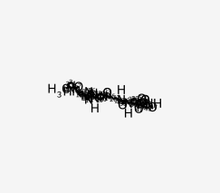 Cc1cccc(C(=O)NC2CC(n3cnc4c(NC5CCN(C(=O)CCCCCNC(=O)CNc6ccc7c(c6)C(=O)N([C@H]6CCC(=O)NC6=O)C7=O)CC5)ncnc43)C2)n1